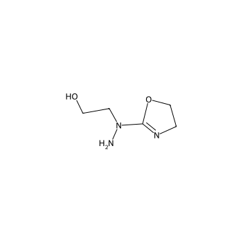 NN(CCO)C1=NCCO1